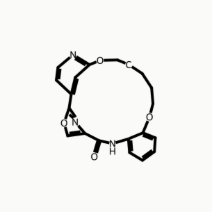 O=C1Nc2ccccc2OCCCCCOc2cc(ccn2)-c2nc1co2